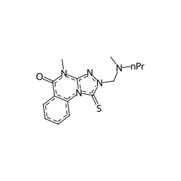 CCCN(C)Cn1nc2n(C)c(=O)c3ccccc3n2c1=S